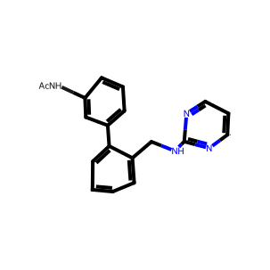 CC(=O)Nc1cccc(-c2ccccc2CNc2n[c]ccn2)c1